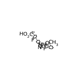 C[C@@H](OC(=O)Nc1c(F)cnn1-c1ccc(-c2ccc(C3(C(=O)O)CC3)cc2F)cc1)c1ccccc1